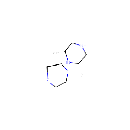 C1CNCCN1.C[C@@H]1CNC[C@H](C)N1